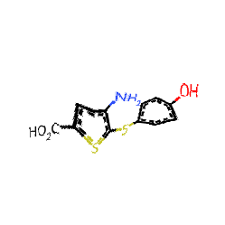 Nc1cc(C(=O)O)sc1Sc1ccc(O)cc1